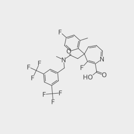 Cc1cc(F)ccc1C1(CC(=O)N(C)Cc2cc(C(F)(F)F)cc(C(F)(F)F)c2)C=CC=NC(C(=O)O)=C1F